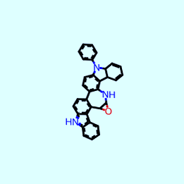 C1=CC2c3c(ccc4c3NC3OC3c3c-4ccc4[nH]c5ccccc5c34)N(c3ccccc3)C2C=C1